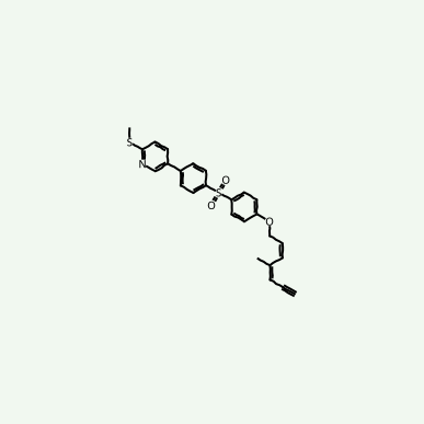 C#C/C=C(C)\C=C/COc1ccc(S(=O)(=O)c2ccc(-c3ccc(SC)nc3)cc2)cc1